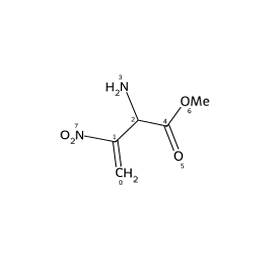 C=C(C(N)C(=O)OC)[N+](=O)[O-]